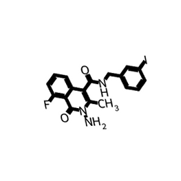 Cc1c(C(=O)NCc2cccc(I)c2)c2cccc(F)c2c(=O)n1N